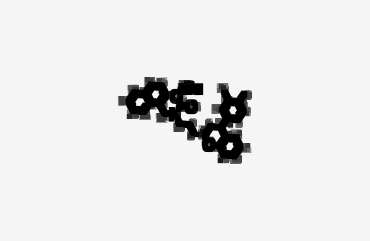 Cc1ccc(C2C[C@@H](CCCN(Cc3cccc4ccccc34)C(=O)OC(C)(C)C)Oc3ccccc32)cc1C